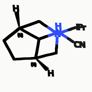 CC(C)N1C[C@H]2CC[C@@H](C1)C2NC#N